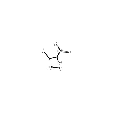 CCN.O=[PH](O)C(O)CCl